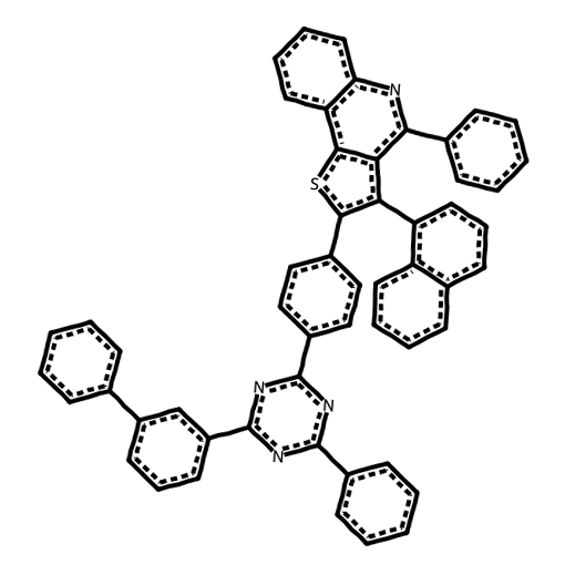 c1ccc(-c2cccc(-c3nc(-c4ccccc4)nc(-c4ccc(-c5sc6c(c(-c7ccccc7)nc7ccccc76)c5-c5cccc6ccccc56)cc4)n3)c2)cc1